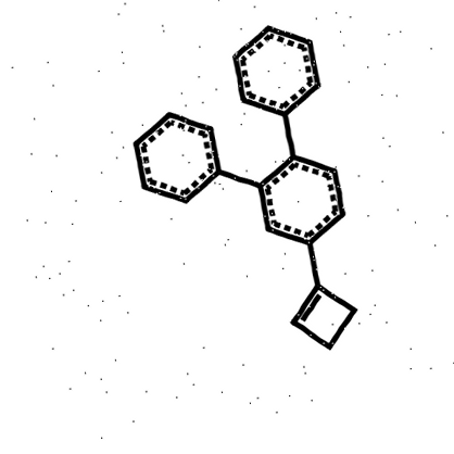 C1=C(c2ccc(-c3ccccc3)c(-c3ccccc3)c2)CC1